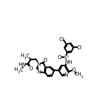 CNC(=O)C(C)Cn1cnc2ccc(-c3cnc(OC)c(N[S+]([O-])c4cc(Cl)cc(Cl)c4)c3)cc2c1=O